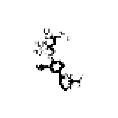 CC(C)C[C@](C)(N)COc1ccc(-c2ccnc(C(F)F)n2)cc1C#N